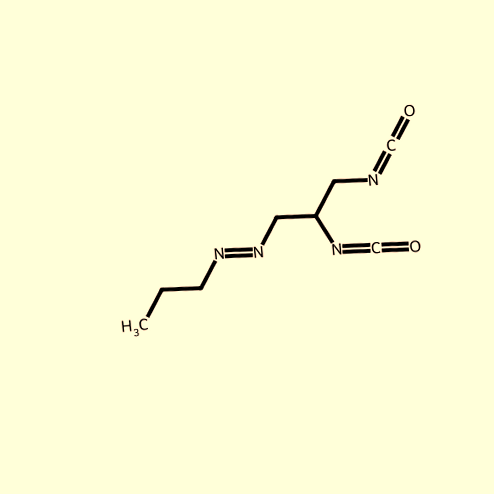 CCCN=NCC(CN=C=O)N=C=O